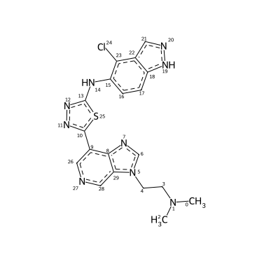 CN(C)CCn1cnc2c(-c3nnc(Nc4ccc5[nH]ncc5c4Cl)s3)cncc21